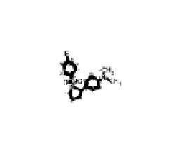 CN(C)c1ccc(C2CCCN2S(=O)(=O)c2ccc(F)cc2)cc1